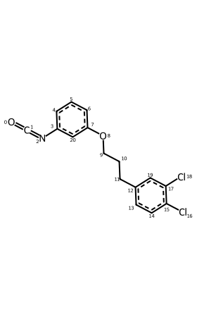 O=C=Nc1cccc(OCCCc2ccc(Cl)c(Cl)c2)c1